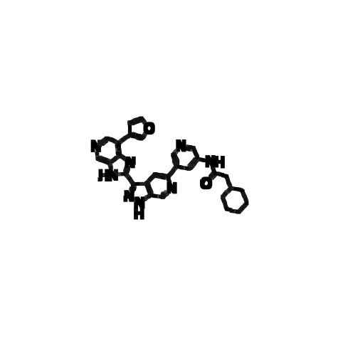 O=C(CC1CCCCC1)Nc1cncc(-c2cc3c(-c4nc5c(-c6ccoc6)cncc5[nH]4)n[nH]c3cn2)c1